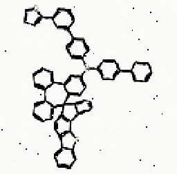 c1ccc(-c2ccc(N(c3ccc(-c4cccc(-c5ccco5)c4)cc3)c3ccc4c(c3)-c3ccccc3-c3ccccc3C43c4ccccc4-c4c3ccc3c4sc4ccccc43)cc2)cc1